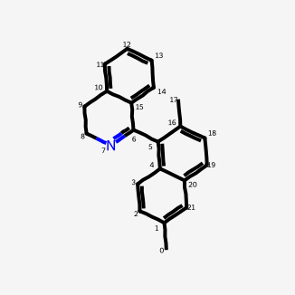 Cc1ccc2c(C3=NCCc4ccccc43)c(C)ccc2c1